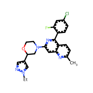 CCn1cc(C2CN(c3cc4nc(C)ccc4c(-c4ccc(Cl)cc4F)n3)CCO2)cn1